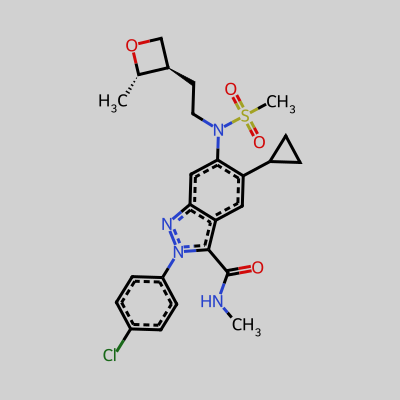 CNC(=O)c1c2cc(C3CC3)c(N(CC[C@@H]3CO[C@H]3C)S(C)(=O)=O)cc2nn1-c1ccc(Cl)cc1